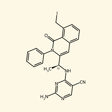 C[C@H](Nc1nc(N)ncc1C#N)c1cc2cccc(CI)c2c(=O)n1-c1ccccc1